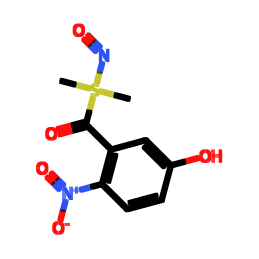 CS(C)(N=O)C(=O)c1cc(O)ccc1[N+](=O)[O-]